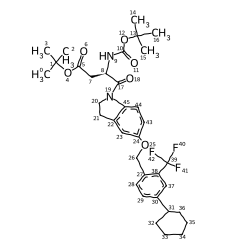 CC(C)(C)OC(=O)C[C@@H](NC(=O)OC(C)(C)C)C(=O)N1CCc2cc(OCc3ccc(C4CCCCC4)cc3C(F)(F)F)ccc21